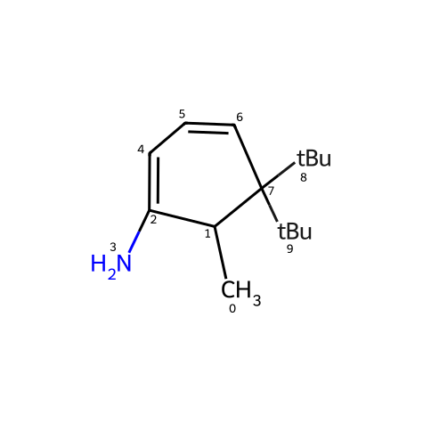 CC1C(N)=CC=CC1(C(C)(C)C)C(C)(C)C